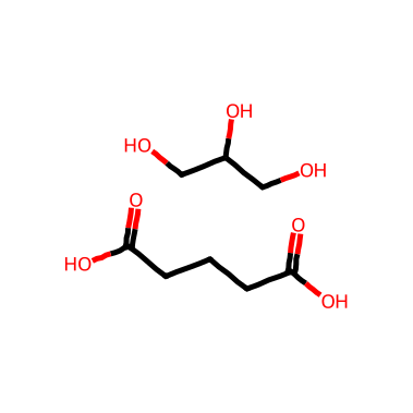 O=C(O)CCCC(=O)O.OCC(O)CO